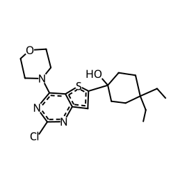 CCC1(CC)CCC(O)(c2cc3nc(Cl)nc(N4CCOCC4)c3s2)CC1